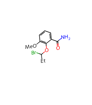 CCC(Br)Oc1c(OC)cccc1C(N)=O